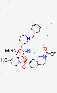 COC(=O)[C@@]1(C(=O)C(N)CC2=CCCN(Cc3ccccc3)C2)C[C@@H](C)CCN1S(=O)(=O)c1ccc2c(c1)CN(C(=O)C(F)(F)F)CC2